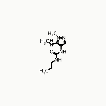 CCCNC(=O)Nc1cnn(C)c1NC